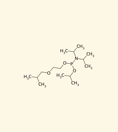 CC(C)COCCOP(OC(C)C)N(C(C)C)C(C)C